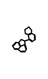 c1cc2c(c([C]3Cc4cccc5cccc3c45)c1)CCCC2